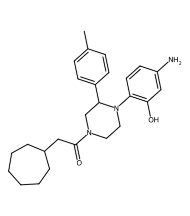 Cc1ccc(C2CN(C(=O)CC3CCCCCC3)CCN2c2ccc(N)cc2O)cc1